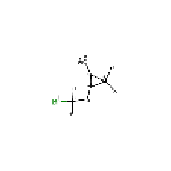 CC(=O)C1C(CC(C)(C)Br)C1(C)C